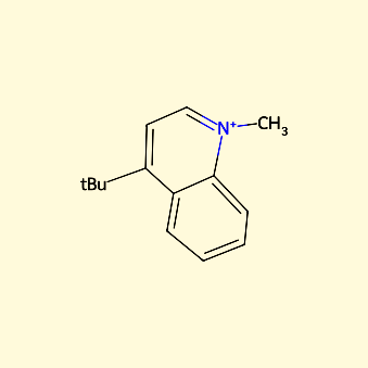 C[n+]1ccc(C(C)(C)C)c2ccccc21